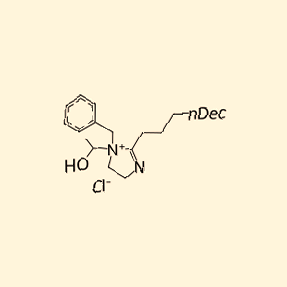 CCCCCCCCCCCCCC1=NCC[N+]1(Cc1ccccc1)C(C)O.[Cl-]